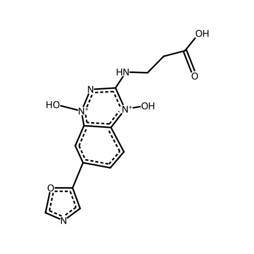 O=C(O)CCNc1n[n+](O)c2cc(-c3cnco3)ccc2[n+]1O